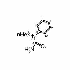 CCCCCCN(C(N)=O)c1ccccc1